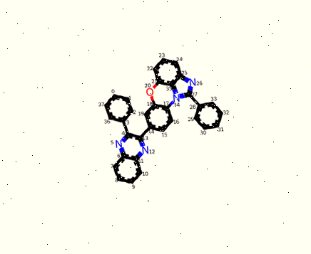 c1ccc(-c2nc3ccccc3nc2-c2ccc3c(c2)Oc2cccc4nc(-c5ccccc5)n-3c24)cc1